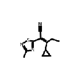 CCC(=C(C#N)c1nc(C)ns1)C1CC1